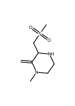 C=C1C(CS(C)(=O)=O)NCCN1C